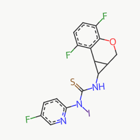 Fc1ccc(N(I)C(=S)NC2C3COc4c(F)ccc(F)c4C32)nc1